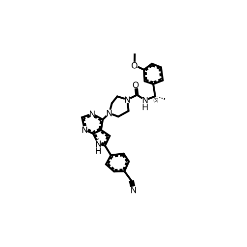 COc1cccc([C@H](C)NC(=O)N2CCN(c3ncnc4[nH]c(-c5ccc(C#N)cc5)cc34)CC2)c1